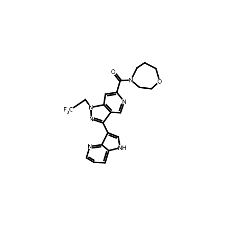 O=C(c1cc2c(cn1)c(-c1c[nH]c3cccnc13)nn2CC(F)(F)F)N1CCCOCC1